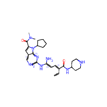 C=C/C(=C\C=C(/N)NC(=C)/N=C1\C(=C/N)C=C(C(=O)N(C)C)N1C1CCCC1)C(=O)NC1CCNCC1